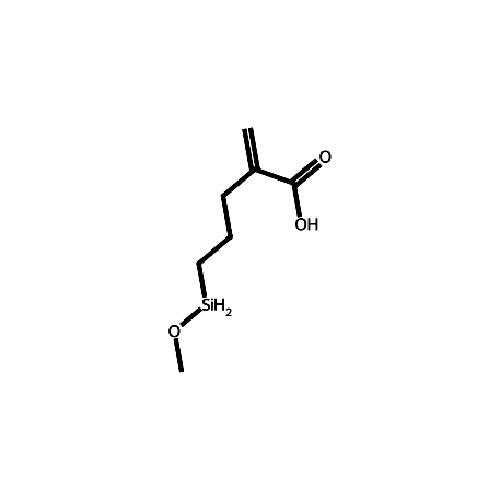 C=C(CCC[SiH2]OC)C(=O)O